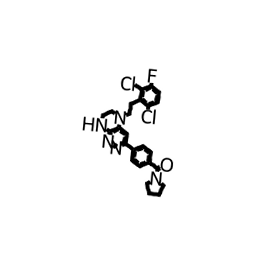 O=C(c1ccc(-c2cc3c(nn2)NCCN3CCc2c(Cl)ccc(F)c2Cl)cc1)N1CCCC1